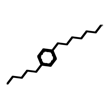 [CH2]CCCCCCc1ccc(CCCCC)cc1